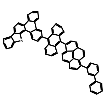 c1ccc(-c2cccc(-c3ccc4ccc5c(-c6c7ccccc7c(-c7ccc8c(c7)c7ccccc7c7ccc9c%10ccccc%10sc9c78)c7ccccc67)ccc6ccc3c4c65)c2)cc1